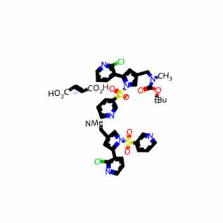 CN(Cc1cc(-c2cccnc2Cl)n(S(=O)(=O)c2cccnc2)c1)C(=O)OC(C)(C)C.CNCc1cc(-c2cccnc2Cl)n(S(=O)(=O)c2cccnc2)c1.O=C(O)/C=C/C(=O)O